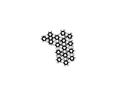 c1ccc(-c2c3ccccc3c(-c3cccc(N4c5ccccc5B5c6cc7c(cc6N(c6ccccc6)c6cc(N(c8ccccc8)c8ccccc8)cc4c65)N(c4ccccc4)c4cc(N(c5ccccc5)c5ccccc5)cc5c4B7c4ccccc4N5c4ccccc4)c3)c3ccccc23)cc1